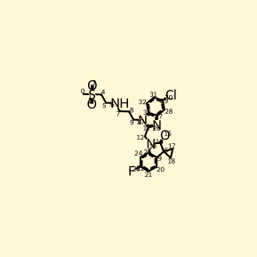 CS(=O)(=O)CCNCCCn1c(CN2C(=O)C3(CC3)c3ccc(F)cc32)nc2cc(Cl)ccc21